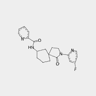 O=C(NC1CCCC2(CCN(c3cc(F)ccn3)C2=O)C1)c1ccccn1